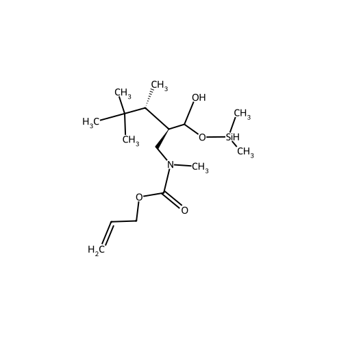 C=CCOC(=O)N(C)C[C@H](C(O)O[SiH](C)C)[C@@H](C)C(C)(C)C